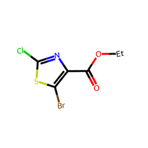 CCOC(=O)c1nc(Cl)sc1Br